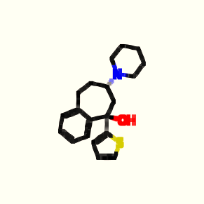 O[C@]1(c2cccs2)C[C@@H](N2CCCCC2)CCc2ccccc21